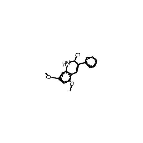 COc1cc2c(c(OC)c1)C=C(c1ccccc1)C(Cl)N2